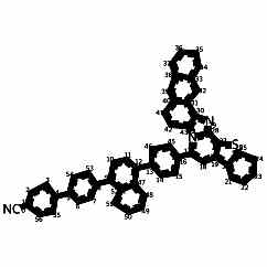 N#Cc1ccc(-c2ccc(-c3ccc(-c4ccc(-c5cc6c7ccccc7sc6c6nc7c8cc9ccccc9cc8ccc7n56)cc4)c4ccccc34)cc2)cc1